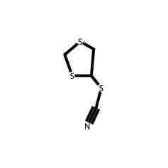 N#CSC1CSCS1